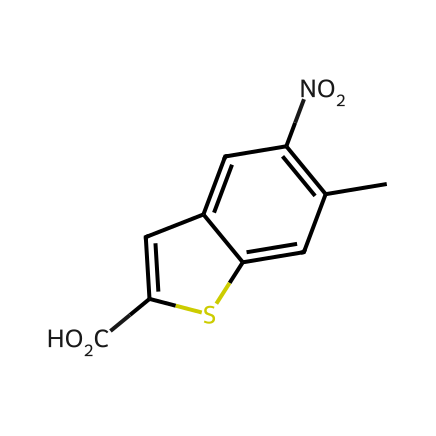 Cc1cc2sc(C(=O)O)cc2cc1[N+](=O)[O-]